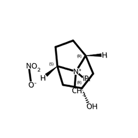 CC(C)[N+]1(C)[C@@H]2CC[C@H]1C[C@@H](O)C2.O=[N+]([O-])[O-]